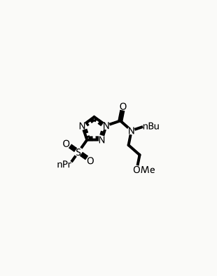 CCCCN(CCOC)C(=O)n1cnc(S(=O)(=O)CCC)n1